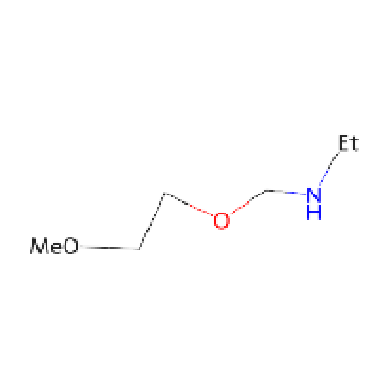 CCNCOCCOC